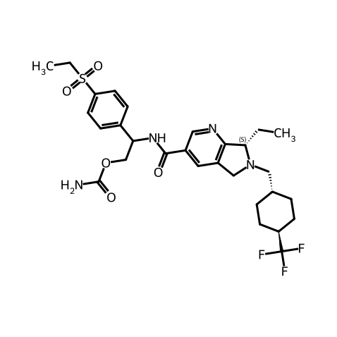 CC[C@H]1c2ncc(C(=O)NC(COC(N)=O)c3ccc(S(=O)(=O)CC)cc3)cc2CN1C[C@H]1CC[C@H](C(F)(F)F)CC1